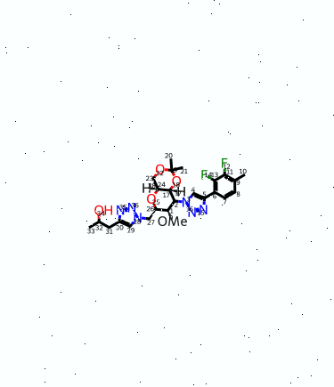 CO[C@@H]1C(n2cc(-c3ccc(C)c(F)c3F)nn2)[C@H]2OC(C)(C)OC[C@H]2O[C@@H]1Cn1cc(CC(C)O)nn1